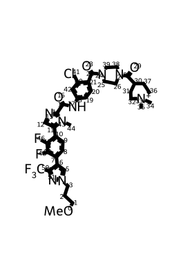 COCCCn1cc(-c2ccc(-c3cnc(C(=O)Nc4ccc(C(=O)N5CCN(C(=O)C6CC[N+](C)(C)CC6)CC5)c(Cl)c4)n3C)c(F)c2F)c(C(F)(F)F)n1